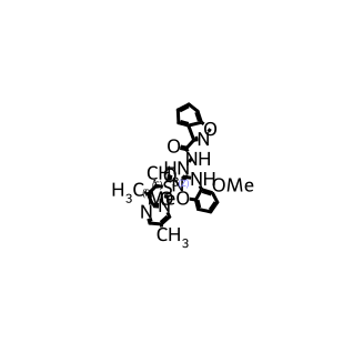 COc1cccc(OC)c1N/C(=N/S(=O)(=O)[C@@H](C)[C@H](C)c1ncc(C)cn1)NNC(=O)c1noc2ccccc12